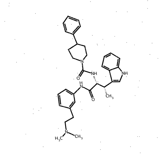 C[C@@H](c1c[nH]c2ccccc12)[C@@H](NC(=O)N1CCC(c2ccccc2)CC1)C(=O)Nc1cccc(CCN(C)C)c1